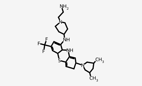 CC1CC(C)CN(C2C=C3NC4C(NC5CCN(CCN)CC5)=CC(C(F)(F)F)=CC4SC3=CC2)C1